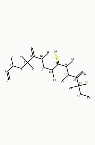 C=CC(C)CC(C)(C)C(=C)C(C)CC(C)C(=S)C(C)C(C)C(=C)C(C)(C)CC